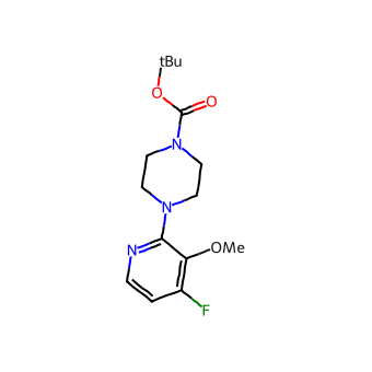 COc1c(F)ccnc1N1CCN(C(=O)OC(C)(C)C)CC1